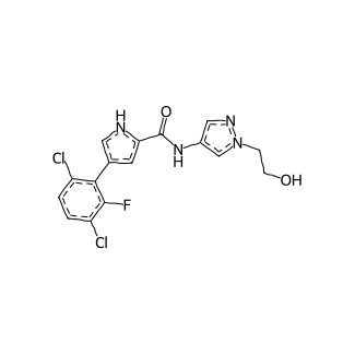 O=C(Nc1cnn(CCO)c1)c1cc(-c2c(Cl)ccc(Cl)c2F)c[nH]1